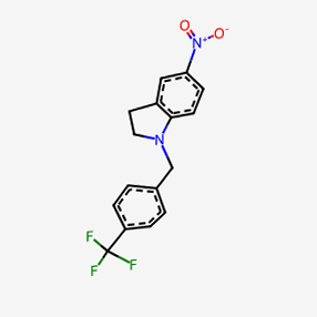 O=[N+]([O-])c1ccc2c(c1)CCN2Cc1ccc(C(F)(F)F)cc1